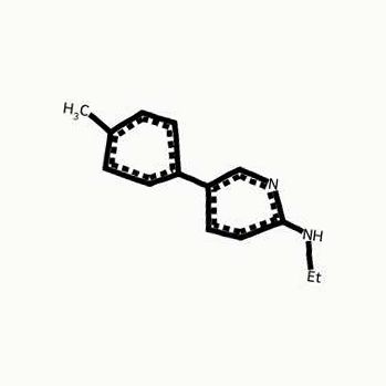 CCNc1ccc(-c2ccc(C)cc2)cn1